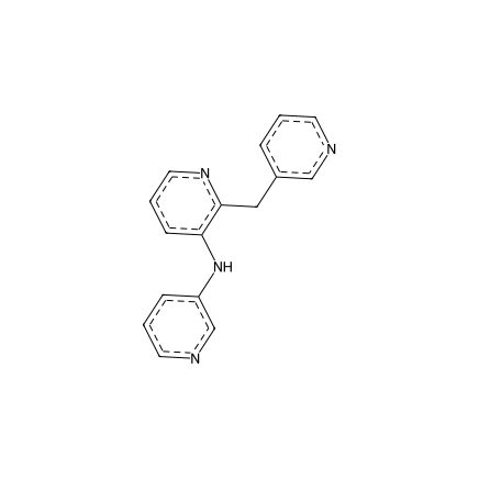 c1cncc(Cc2ncccc2Nc2cccnc2)c1